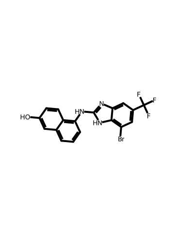 Oc1ccc2c(Nc3nc4cc(C(F)(F)F)cc(Br)c4[nH]3)cccc2c1